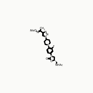 CON=C(C)c1cn(C2CCN(c3ccc(N4C[C@H](CNC(C)=O)OC4=O)cc3F)CC2)nn1